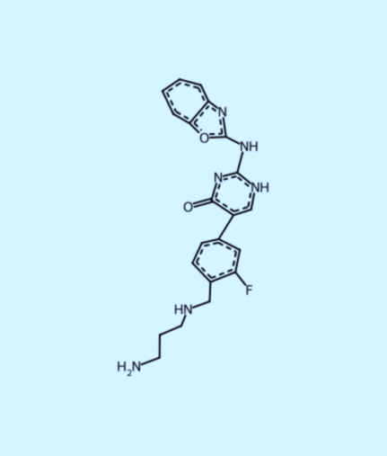 NCCCNCc1ccc(-c2c[nH]c(Nc3nc4ccccc4o3)nc2=O)cc1F